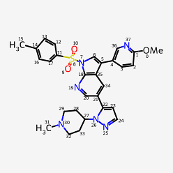 COc1ccc(-c2cn(S(=O)(=O)c3ccc(C)cc3)c3ncc(-c4ccnn4C4CCN(C)CC4)cc23)cn1